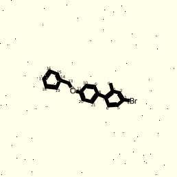 Cc1cc(Br)ccc1-c1ccc(OCc2ccccc2)cc1